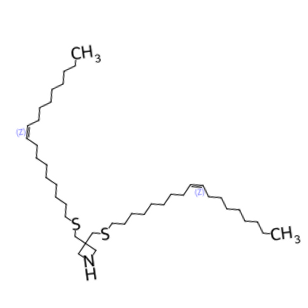 CCCCCCCC/C=C\CCCCCCCCSCC1(CSCCCCCCCC/C=C\CCCCCCCC)CNC1